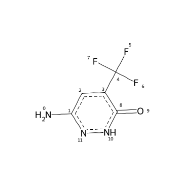 Nc1cc(C(F)(F)F)c(=O)[nH]n1